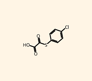 O=C(O)C(=O)Sc1ccc(Cl)cc1